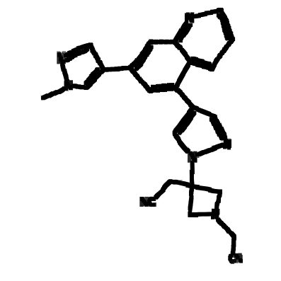 Cn1cc(-c2cc(-c3cnn(C4(CC#N)CN(CC#N)C4)c3)c3cccnc3c2)cn1